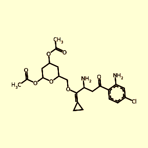 CC(=O)OC1CC(COC(=C2CC2)C(N)CC(=O)c2ccc(Cl)cc2N)OC(OC(C)=O)C1